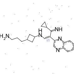 N=C(/C(=C\NC1CC(CCCN)C1)c1cnc2ccccc2n1)C1CC1